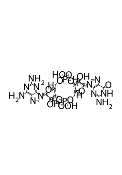 Nc1nc(N)c2ncn([C@@H]3O[C@@H]4COP(=O)(O)O[C@H]5[C@@H](O)[C@H](n6cnc7c(=O)[nH]c(N)nc76)O[C@@H]5COP(=O)(O)O[C@H]4[C@H]3O)c2n1